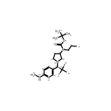 CC(C)(C)OC(=O)N(CCF)C1CCN([C@H](c2ccc(NN)nc2)C(F)(F)F)C1